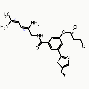 C/C(N)=C/C=C(\N)CNC(=O)c1cc(O[C@H](C)CCO)cc(-c2ncc(C(C)C)s2)c1